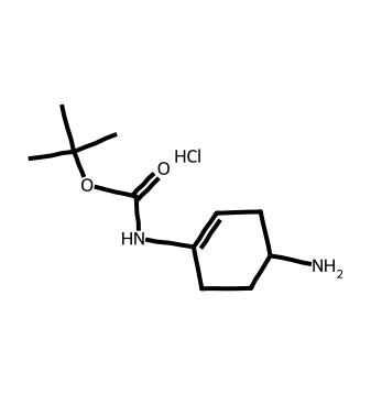 CC(C)(C)OC(=O)NC1=CCC(N)CC1.Cl